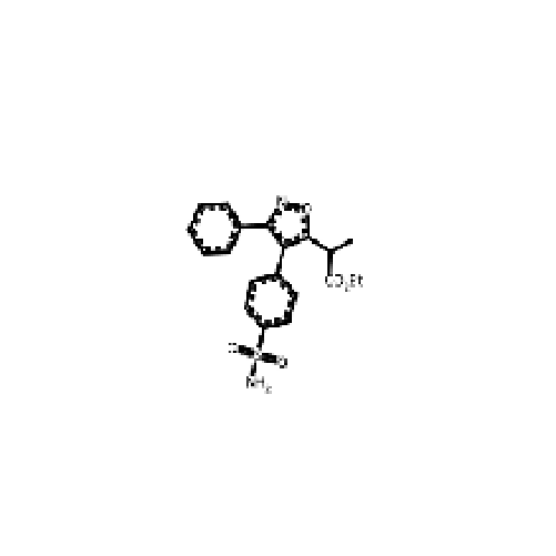 CCOC(=O)C(C)c1onc(-c2ccccc2)c1-c1ccc(S(N)(=O)=O)cc1